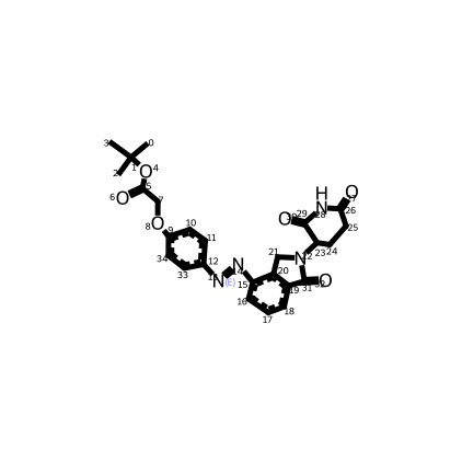 CC(C)(C)OC(=O)COc1ccc(/N=N/c2cccc3c2CN(C2CCC(=O)NC2=O)C3=O)cc1